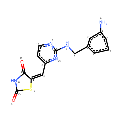 Nc1cccc(CNc2nccc(/C=C3/SC(=O)NC3=O)n2)c1